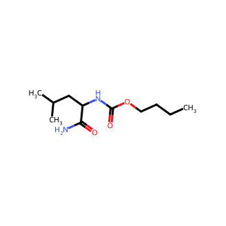 CCCCOC(=O)NC(CC(C)C)C(N)=O